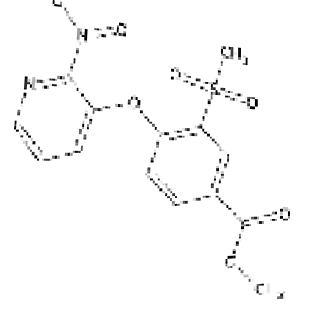 COC(=O)c1ccc(Oc2cccnc2[N+](=O)[O-])c(S(C)(=O)=O)c1